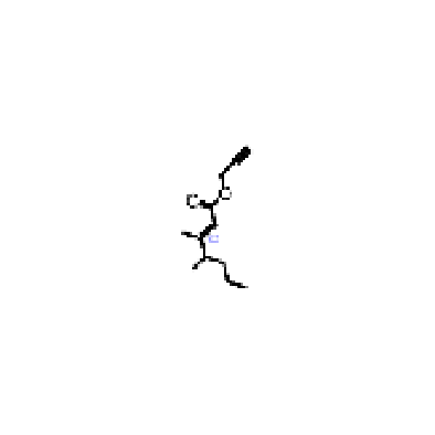 C#CCOC(=O)/C=C(\C)C(C)CCC